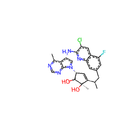 Cc1ncnc2c1ccn2[C@@H]1C=C(C(C)Cc2cc(F)c3cc(Cl)c(N)nc3c2)[C@@](C)(O)C1O